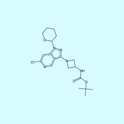 CC(C)(C)OC(=O)NC1CN(c2nn(C3CCCCO3)c3cc(Cl)ncc23)C1